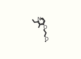 CCc1nccc(OCCCOC)c1C